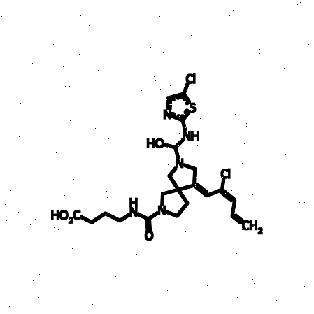 C=C/C=C(Cl)\C=C1/CN(C(O)Nc2ncc(Cl)s2)CC12CCN(C(=O)NCCCC(=O)O)C2